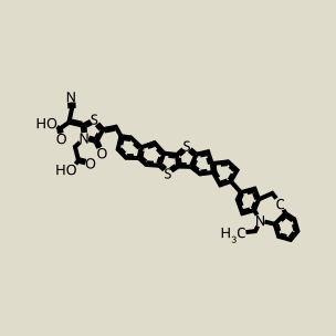 CCN1c2ccccc2CCc2cc(-c3ccc4cc5sc6c7cc8cc(/C=c9/s/c(=C(\C#N)C(=O)O)n(CC(=O)O)c9=O)ccc8cc7sc6c5cc4c3)ccc21